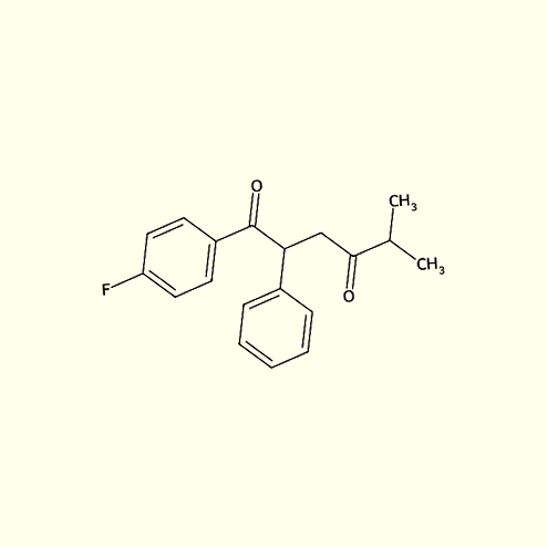 CC(C)C(=O)CC(C(=O)c1ccc(F)cc1)c1ccccc1